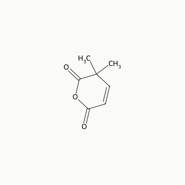 CC1(C)C=CC(=O)OC1=O